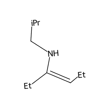 CC/C=C(/CC)NCC(C)C